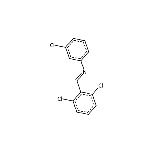 Clc1cccc(N=Cc2c(Cl)cccc2Cl)c1